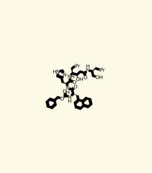 CC(C)C[C@@H](CO)NC(=O)C[C@H](O)[C@H](CC(C)C)NC(=O)[C@H](Cc1c[nH]cn1)NC(=O)[C@H](Cc1cccc2ccccc12)NC(=O)OCc1ccccc1